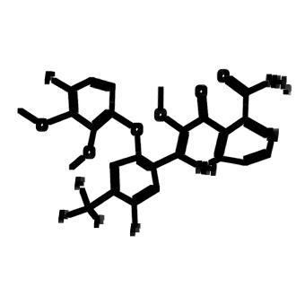 COc1c(F)ccc(Oc2cc(C(F)(F)F)c(F)cc2-c2[nH]c3ccnc(C(N)=O)c3c(=O)c2OC)c1OC